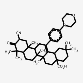 CC1(C)CCC2(C(=O)O)CCC3(C)C(=C(c4ccc(N5CCOCC5)cc4)CC4C5(C)CC(C#N)C(=O)C(C)(C)C5CCC43C)C2C1